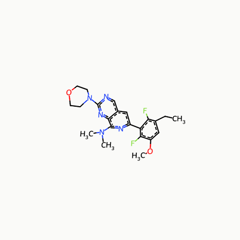 CCc1cc(OC)c(F)c(-c2cc3cnc(N4CCOCC4)nc3c(N(C)C)n2)c1F